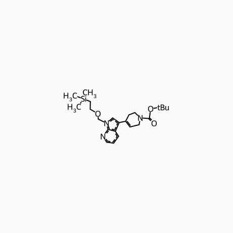 CC(C)(C)OC(=O)N1CC=C(c2cn(COCC[Si](C)(C)C)c3ncccc23)CC1